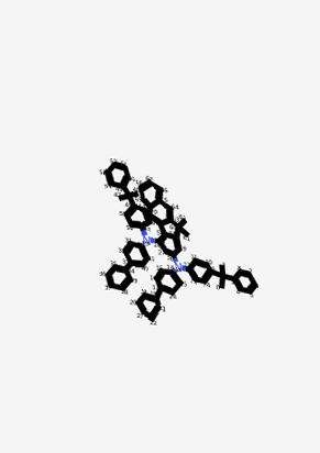 CC(C)(c1ccccc1)c1ccc(N(c2ccc(-c3ccccc3)cc2)c2cc(N(c3ccc(-c4ccccc4)cc3)c3ccc(C(C)(C)c4ccccc4)cc3)c3c(c2)C(C)(C)c2cc4ccccc4cc2-3)cc1